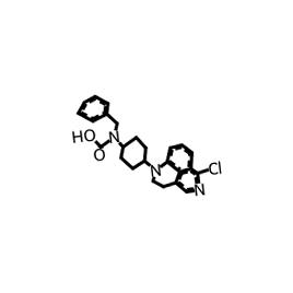 O=C(O)N(Cc1ccccc1)C1CCC(N2CCc3cnc(Cl)c4cccc2c34)CC1